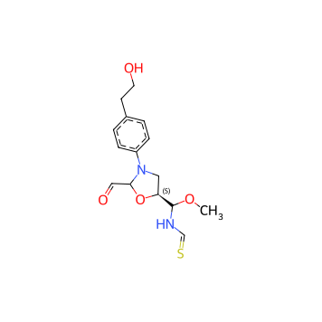 COC(NC=S)[C@@H]1CN(c2ccc(CCO)cc2)C(C=O)O1